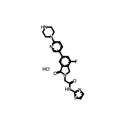 Cl.O=C(CN1Cc2c(F)cc(-c3ccc(N4CCNCC4)nc3)cc2C1=O)Nc1nccs1